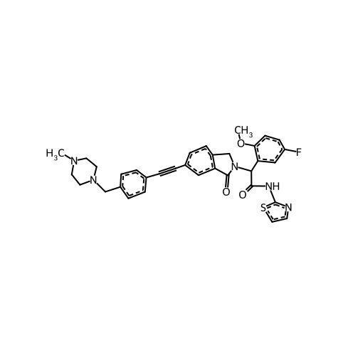 COc1ccc(F)cc1C(C(=O)Nc1nccs1)N1Cc2ccc(C#Cc3ccc(CN4CCN(C)CC4)cc3)cc2C1=O